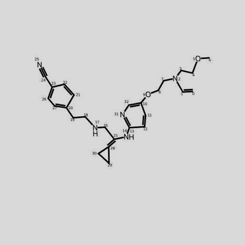 C=CN(CCOC)CCOc1ccc(NC(CNCCc2ccc(C#N)cc2)=C2CC2)nc1